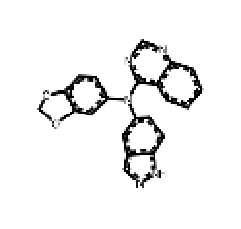 c1ccc2c(N(c3ccc4c(c3)OCO4)c3ccc4[nH]ncc4c3)ncnc2c1